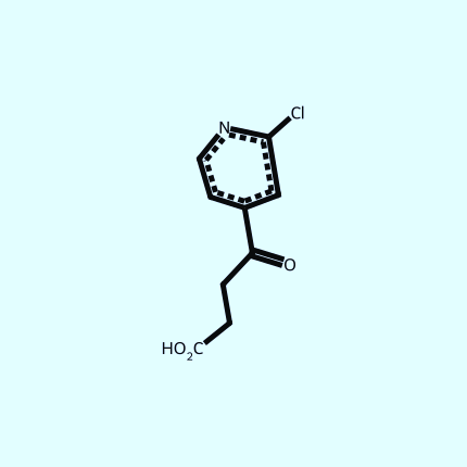 O=C(O)CCC(=O)c1ccnc(Cl)c1